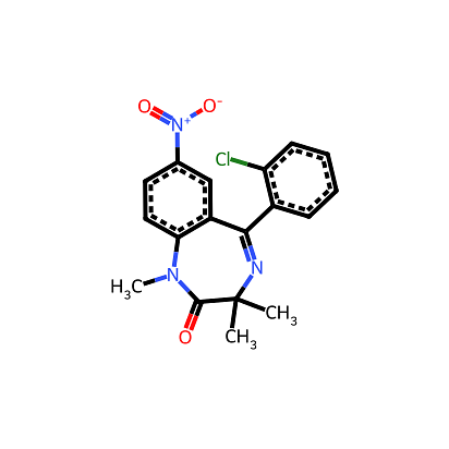 CN1C(=O)C(C)(C)N=C(c2ccccc2Cl)c2cc([N+](=O)[O-])ccc21